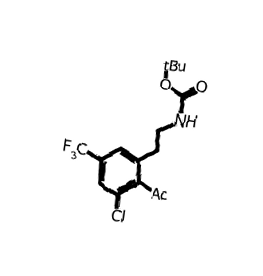 CC(=O)c1c(Cl)cc(C(F)(F)F)cc1CCNC(=O)OC(C)(C)C